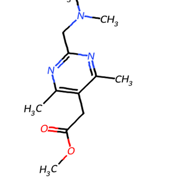 COC(=O)Cc1c(C)nc(CN(C)C)nc1C